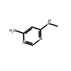 Nc1cc(NI)ncn1